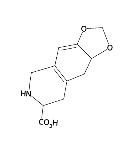 O=C(O)C1CC2=C(C=C3OCOC3C2)CN1